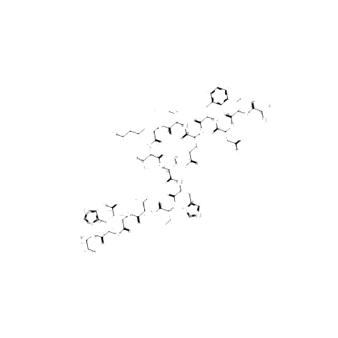 CC(C)C[C@H](NC(=O)[C@H](Cc1c[nH]cn1)NC(=O)[C@H](CS)NC(=O)[C@@H](NC(=O)[C@H](CCCCN)NC(=O)[C@H](CC(=O)O)NC(=O)[C@H](CCC(N)=O)NC(=O)[C@H](Cc1ccccc1)NC(=O)[C@H](CC(N)=O)NC(=O)[C@H](CC(=O)O)NC(=O)[C@@H](N)C(C)C)[C@@H](C)O)C(=O)N[C@H](C(=O)N[C@@H](CC(N)=O)C(=O)N[C@@H](Cc1c[nH]cn1)C(=O)N[C@@H](CS)C(=O)O)[C@@H](C)O